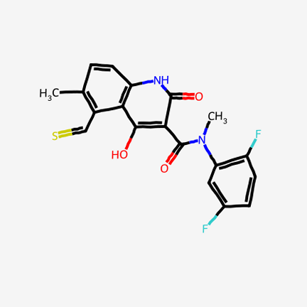 Cc1ccc2[nH]c(=O)c(C(=O)N(C)c3cc(F)ccc3F)c(O)c2c1C=S